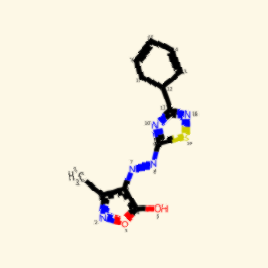 Cc1noc(O)c1N=Nc1nc(C2C=CC=CC2)ns1